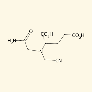 N#CCN(CC(N)=O)[C@@H](CCC(=O)O)C(=O)O